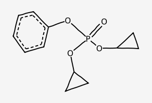 O=P(Oc1ccccc1)(OC1CC1)OC1CC1